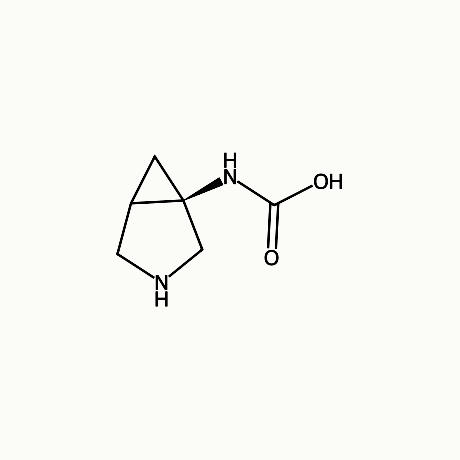 O=C(O)N[C@@]12CNCC1C2